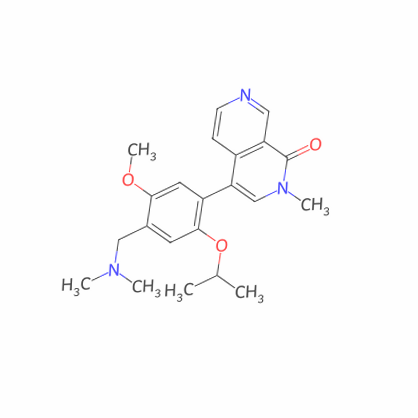 COc1cc(-c2cn(C)c(=O)c3cnccc23)c(OC(C)C)cc1CN(C)C